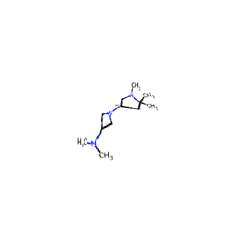 CN(C)C1CN([C@H]2CN(C)C(C)(C)C2)C1